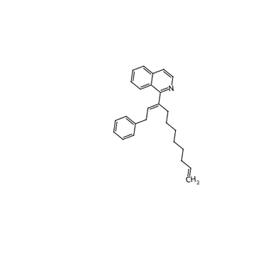 C=CCCCCCCC(=CCc1ccccc1)c1nccc2ccccc12